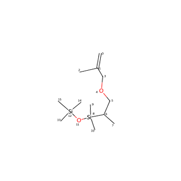 C=C(C)COCC(C)[Si](C)(C)O[Si](C)(C)C